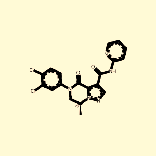 C[C@H]1CN(c2ccc(Cl)c(Cl)c2)C(=O)c2c(C(=O)Nc3ccccn3)cnn21